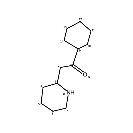 O=C(CC1CCCCN1)C1CCCCC1